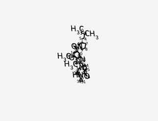 CCC(C)CC[C@@H]1CCCN(C(=O)c2cc(OC)c3c(c2)nc(-c2ccc(C(=O)NC4CC4)n2CC2CC2)n3C)C1